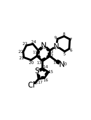 N#Cc1c(N2CCCCC2)nc2c(c1-c1ccc(Cl)s1)CCCCC2